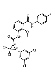 COc1c(NC(=O)[C@H]2[C@H](c3cc(Cl)cc(Cl)c3)C2(Cl)Cl)cccc1C(=O)Nc1ccc(F)cc1